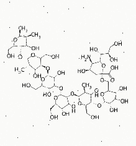 C[C@@H]1OC(CO)[C@@H](O[C@@H]2OC(CO)[C@@H](O[C@@H]3OC(CO)[C@@H](O)C(O[C@H]4O[C@H](CO)[C@@H](O)C(O)C4O[C@@H]4OC(CO)[C@@H](O[C@@H]5OC(CO[C@]6(C(=O)O)C[C@@H](O)[C@@H](N)C([C@H](O)[C@H](O)CO)O6)[C@H](O)C(O)[C@@H]5O)C(O)[C@@H]4C)[C@H]3O)C(O)[C@@H]2C)C(O)[C@@H]1C